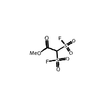 COC(=O)C(S(=O)(=O)F)S(=O)(=O)F